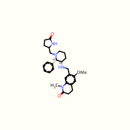 COc1cc2c(cc1CN[C@H]1CCCN(CC3CCC(=O)N3)[C@H]1c1ccccc1)N(C)C(=O)CC2